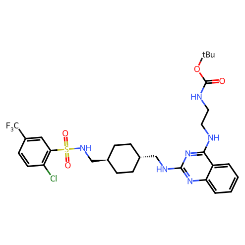 CC(C)(C)OC(=O)NCCNc1nc(NC[C@H]2CC[C@H](CNS(=O)(=O)c3cc(C(F)(F)F)ccc3Cl)CC2)nc2ccccc12